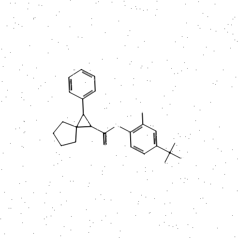 O=C(Nc1ccc(C(F)(F)F)cc1Cl)C1C(c2ccccc2)C12CCCC2